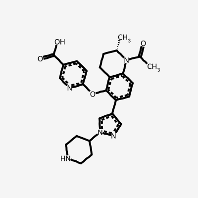 CC(=O)N1c2ccc(-c3cnn(C4CCNCC4)c3)c(Oc3ccc(C(=O)O)cn3)c2CC[C@@H]1C